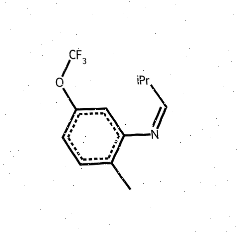 Cc1ccc(OC(F)(F)F)cc1/N=C\C(C)C